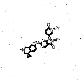 CC(C)n1cc(-n2c3nc(Nc4ccc5c(c4)CN(C)CC54CC4)ncc3c(=O)n2C(C)C)ccc1=O